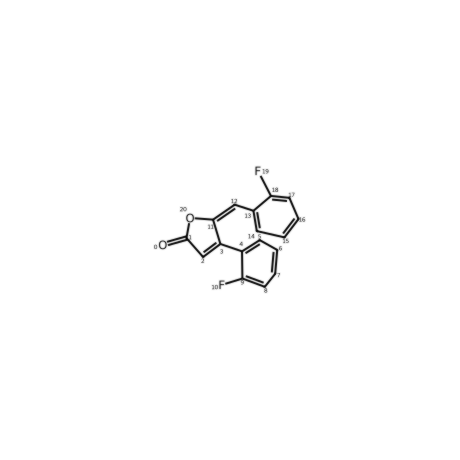 O=C1C=C(c2ccccc2F)/C(=C\c2ccccc2F)O1